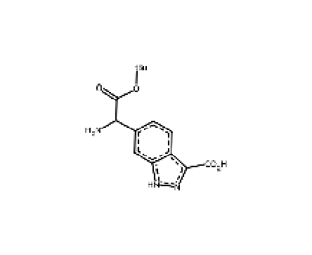 CC(C)(C)OC(=O)C(N)c1ccc2c(C(=O)O)n[nH]c2c1